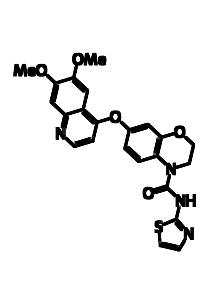 COc1cc2nccc(Oc3ccc4c(c3)OCCN4C(=O)Nc3nccs3)c2cc1OC